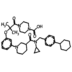 CC(C)(Oc1cccc(N2CCCC(C(=O)N(Cc3ccc(C4CCCCC4)cc3)C3CC3)C2)c1)C(=O)N1CCN(C(=O)O)CC1